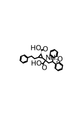 N[C@](CC1c2ccccc2Oc2ccccc21)(C(=O)O)C1C(CCc2ccccc2)[C@@H]1C(=O)O